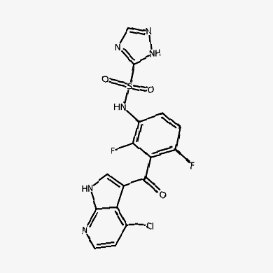 O=C(c1c(F)ccc(NS(=O)(=O)c2ncn[nH]2)c1F)c1c[nH]c2nccc(Cl)c12